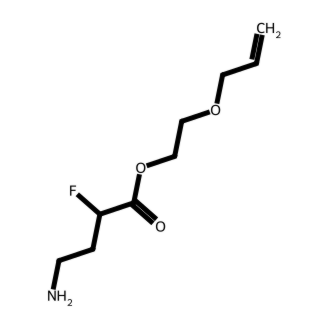 C=CCOCCOC(=O)C(F)CCN